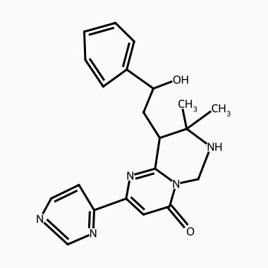 CC1(C)NCn2c(nc(-c3ccncn3)cc2=O)C1CC(O)c1ccccc1